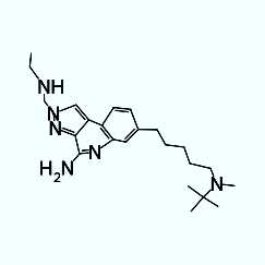 CCNCn1cc2c(n1)c(N)nc1cc(CCCCCN(C)C(C)(C)C)ccc12